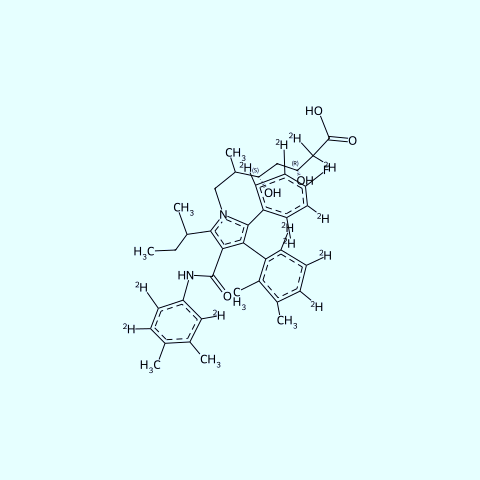 [2H]c1c([2H])c(C)c(C)c(-c2c(C(=O)Nc3c([2H])c([2H])c(C)c(C)c3[2H])c(C(C)CC)n(CC(C)[C@@H](O)C[C@@H](O)C([2H])([2H])C(=O)O)c2-c2c([2H])c([2H])c(F)c([2H])c2[2H])c1[2H]